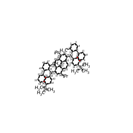 Cc1cccc(-c2ccccc2)c1N(c1ccc([Si](C)(C)C)cc1)c1cc(C(C)C)c2ccc3c(N(c4ccc([Si](C)(C)C)cc4)c4c(C)cccc4-c4ccccc4)cc(C(C)C)c4ccc1c2c43